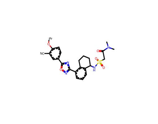 CC(C)Oc1ccc(-c2nc(-c3cccc4c3CCCC4NS(=O)(=O)CC(=O)N(C)C)no2)cc1C#N